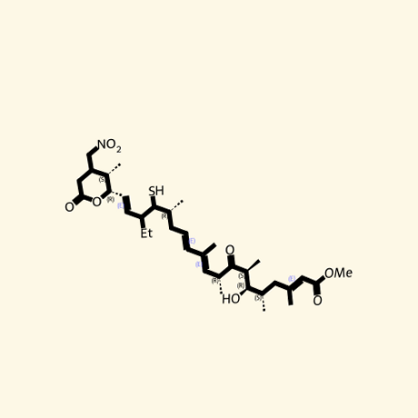 CCC(/C=C/[C@@H]1OC(=O)CC(C[N+](=O)[O-])[C@@H]1C)C(S)[C@H](C)C/C=C/C(C)=C/[C@@H](C)C(=O)[C@@H](C)[C@H](O)[C@@H](C)C/C(C)=C/C(=O)OC